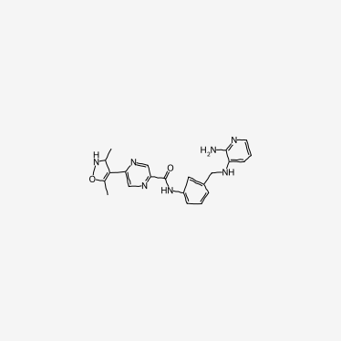 CC1=C(c2cnc(C(=O)Nc3cccc(CNc4cccnc4N)c3)cn2)C(C)NO1